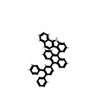 c1ccc(-c2ccc(-c3c4ccccc4c(-c4cccc5sc6c7ccccc7ccc6c45)c4ccccc34)cc2-c2ccccc2)cc1